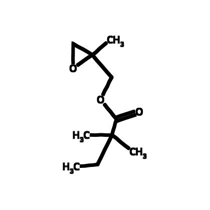 CCC(C)(C)C(=O)OCC1(C)CO1